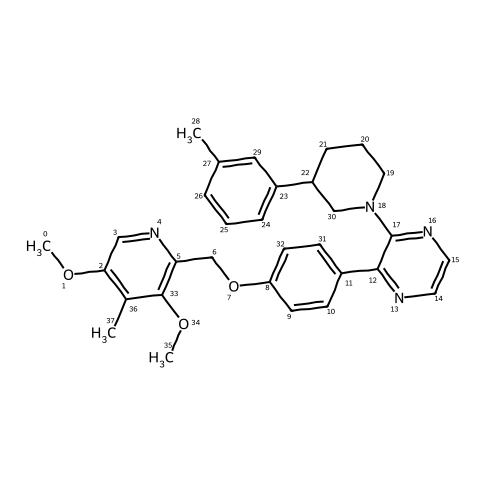 COc1cnc(COc2ccc(-c3nccnc3N3CCCC(c4cccc(C)c4)C3)cc2)c(OC)c1C